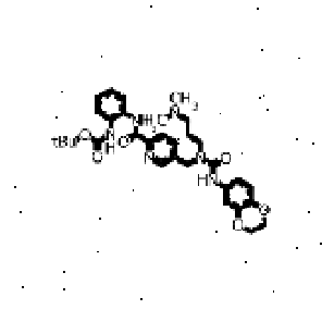 CN(C)CCCN(Cc1ccc(C(=O)Nc2ccccc2NC(=O)OC(C)(C)C)nc1)C(=O)Nc1ccc2c(c1)OCCO2